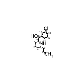 CCC[C@H]1CCC[C@@H]([C@@H](O)c2cccc(Cl)c2)N1